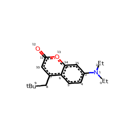 CCN(CC)c1ccc2c(CC(C)(C)C)cc(=O)oc2c1